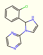 Clc1ccccc1C1NC=CN1c1cnccn1